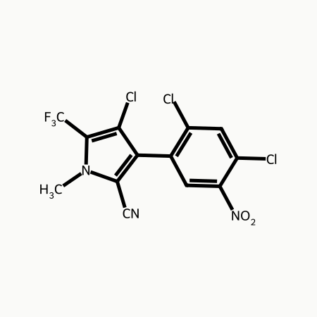 Cn1c(C#N)c(-c2cc([N+](=O)[O-])c(Cl)cc2Cl)c(Cl)c1C(F)(F)F